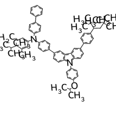 C=C/C=C(\C=C(\C)C(C)C(C)C)N(c1ccc(-c2ccccc2)cc1)c1ccc(-c2ccc3c(c2)c2cc(-c4ccc(C(CC(C)(C)C)C(C)(C)C)cc4)ccc2n3-c2ccc(OC(C)C)cc2)cc1